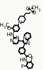 COc1cc(N2CCC(CCS(C)(=O)=O)CC2)ccc1Nc1nccc(-c2c(-c3cccc(C(=O)Nc4c(F)cccc4F)c3)nc3ccccn23)n1